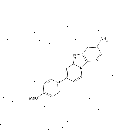 COc1ccc(-c2ccn3c(n2)nc2cc(N)ccc23)cc1